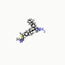 BCC(CC)(SC#N)c1ccc(C(C#CC(CC)(CN)c2ccc(C(C)(CC)CC)cc2)(CC)CC)cc1